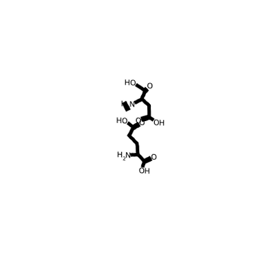 C=C.NC(CC(=O)O)C(=O)O.NC(CCC(=O)O)C(=O)O